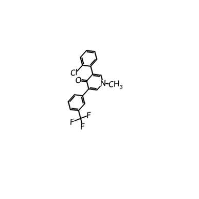 Cn1cc(-c2cccc(C(F)(F)F)c2)c(=O)c(-c2ccccc2Cl)c1